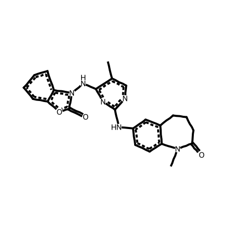 Cc1cnc(Nc2ccc3c(c2)CCCC(=O)N3C)nc1Nn1c(=O)oc2ccccc21